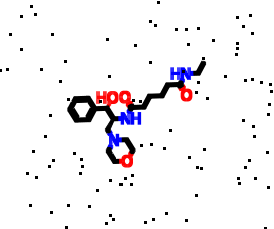 CCNC(=O)CCCCC(=O)N[C@@H](CN1CCOCC1)[C@@H](O)c1ccccc1